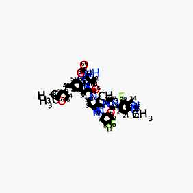 C[C@H]1c2c(nn(C3CCC(F)(F)CC3)c2-n2ccn(-c3ccc4c(cnn4C)c3F)c2=O)CCN1C(=O)c1cc2cc(C[C@H]3CCOC(C)(C)C3)ccc2n1C1(c2noc(=O)[nH]2)CC1